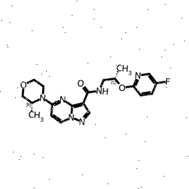 C[C@@H]1COCCN1c1ccn2ncc(C(=O)NC[C@H](C)Oc3ccc(F)cn3)c2n1